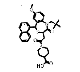 COc1ccc2c(c1)C(c1cccc3ccccc13)SC(CC(=O)N1CCC(C(=O)O)CC1)C(=O)N2CC(C)(C)C